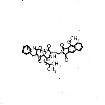 COc1c2c(cc3ccccc13)C(=O)N(CC[C@@H](N[C@@H](CC(C)C)C(=O)N(C)[C@@H](Cc1ccccc1)C(N)=O)C(=O)O)C2=O